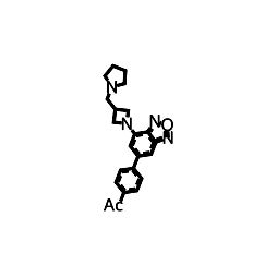 CC(=O)c1ccc(-c2cc(N3CC(CN4CCCC4)C3)c3nonc3c2)cc1